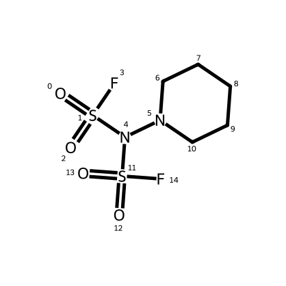 O=S(=O)(F)N(N1CCCCC1)S(=O)(=O)F